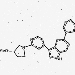 CO[C@H]1CCN(c2cc(-c3n[nH]c4cnc(-c5cccnc5)cc34)ccn2)C1